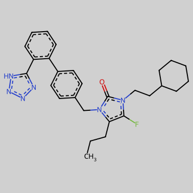 CCCc1c(F)n(CCC2CCCCC2)c(=O)n1Cc1ccc(-c2ccccc2-c2nnn[nH]2)cc1